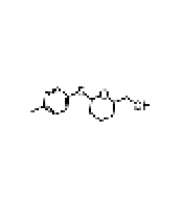 Cc1ccc(SC2CCCC(CO)O2)cc1